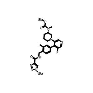 Cc1cc(-c2c(F)cncc2N2CCC[C@@H](N(C)C(=O)OC(C)(C)C)C2)ccc1CNC(=O)c1cn(C(C)(C)C)nn1